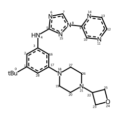 CC(C)(C)c1cc(Nc2ncn(-c3cnccn3)n2)cc(N2CCN(C3COC3)CC2)c1